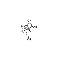 C=C.C=C.C=C(CC(=O)O)C(=O)O.C=CSC=C